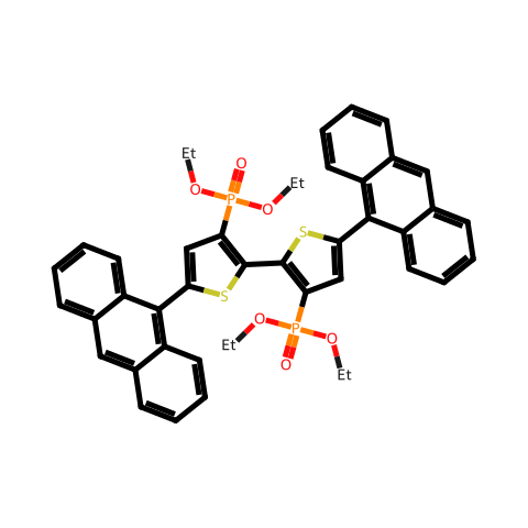 CCOP(=O)(OCC)c1cc(-c2c3ccccc3cc3ccccc23)sc1-c1sc(-c2c3ccccc3cc3ccccc23)cc1P(=O)(OCC)OCC